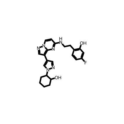 Oc1cc(F)ccc1CCNc1ccn2ncc(-c3cnn(C4CCCCC4O)c3)c2n1